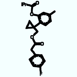 Cc1ccc(C2(COC(=O)Cc3ccc(F)cc3)CC2)c(OC(=O)C(C)C)c1